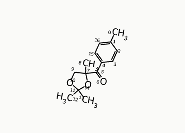 Cc1ccc(C(=O)C2(C)COC(C)(C)O2)cc1